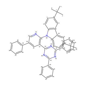 CC(C)(C)c1ccc2c(c1)c1cc(C(C)(C)C)ccc1n2-c1ncc(-c2ccccc2)cc1-c1nc(-c2ccccc2)nc(-c2ccccc2)n1